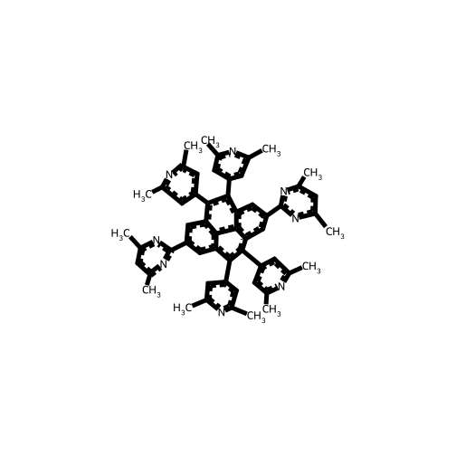 Cc1cc(-c2c(-c3cc(C)nc(C)c3)c3cc(-c4nc(C)cc(C)n4)cc4c(-c5cc(C)nc(C)c5)c(-c5cc(C)nc(C)c5)c5cc(-c6nc(C)cc(C)n6)cc2c5c34)cc(C)n1